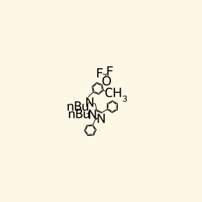 CCCCN(Cc1ccc(OC(F)F)c(C)c1)Cc1c(-c2ccccc2)nc(-c2ccccc2)n1CCCC